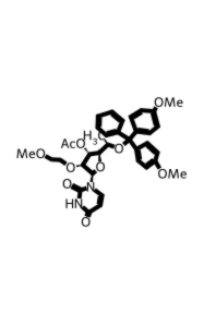 COCCO[C@@H]1[C@H](OC(C)=O)[C@@H]([C@H](C)OC(c2ccccc2)(c2ccc(OC)cc2)c2ccc(OC)cc2)O[C@H]1n1ccc(=O)[nH]c1=O